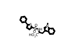 Cn1cc(C[C@@H](NS(=O)(=O)c2ccc(-c3ccccc3)s2)C(=O)O)c2ccccc21